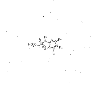 O=C(O)CS(=O)(=O)C(F)c1cc(F)c(F)c(F)c1F